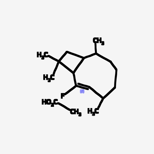 CC(=O)O.CC1/C=C(\F)C2C(CC2(C)C)C(C)CCC1